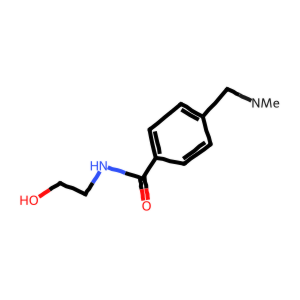 CNCc1ccc(C(=O)NCCO)cc1